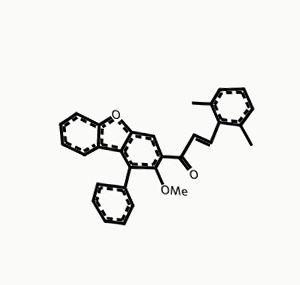 COc1c(C(=O)/C=C/c2c(C)cccc2C)cc2oc3ccccc3c2c1-c1ccccc1